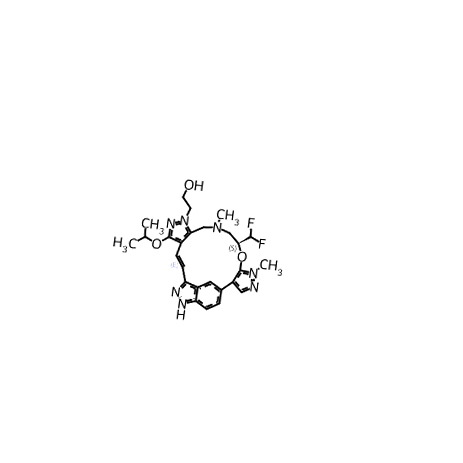 CC(C)Oc1nn(CCO)c2c1/C=C/c1n[nH]c3ccc(cc13)-c1cnn(C)c1O[C@H](C(F)F)CN(C)C2